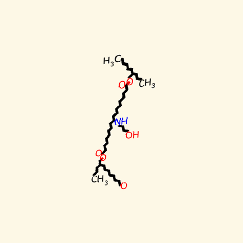 CCCCCCC(CCCC)COC(=O)CCCCCCCCC(CCCCCCCCC(=O)OCC(CCCC)CCCCCCCC=O)NCCCCO